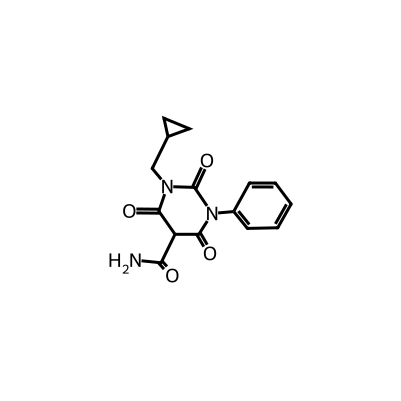 NC(=O)C1C(=O)N(CC2CC2)C(=O)N(c2ccccc2)C1=O